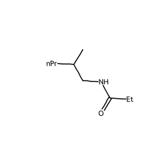 [CH2]CC(=O)NCC(C)CCC